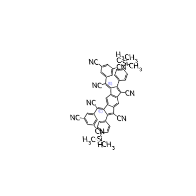 C[SiH](C)c1ccc(C2=C(C#N)c3cc4c(cc3/C2=C(\C#N)c2cc(C#N)cc(C#N)c2)/C(=C(\C#N)c2cc(C#N)cc(C#N)c2)C(c2ccc([Si](C)(C)C)cc2)=C4C#N)cc1